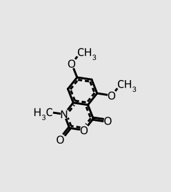 COc1cc(OC)c2c(=O)oc(=O)n(C)c2c1